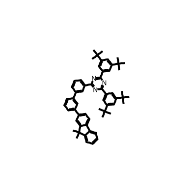 CC(C)(C)c1cc(-c2nc(-c3cccc(-c4cccc(-c5ccc6c(c5)C(C)(C)c5ccccc5-6)c4)c3)nc(-c3cc(C(C)(C)C)cc(C(C)(C)C)c3)n2)cc(C(C)(C)C)c1